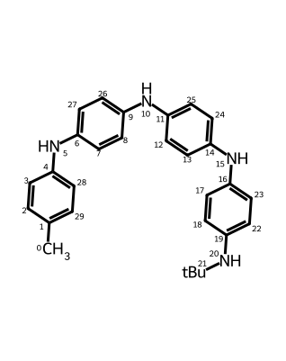 Cc1ccc(Nc2ccc(Nc3ccc(Nc4ccc(NC(C)(C)C)cc4)cc3)cc2)cc1